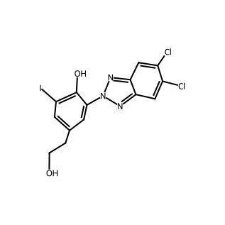 OCCc1cc(I)c(O)c(-n2nc3cc(Cl)c(Cl)cc3n2)c1